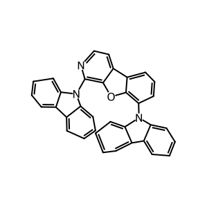 c1cc(-n2c3ccccc3c3ccccc32)c2oc3c(-n4c5ccccc5c5ccccc54)nccc3c2c1